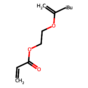 C=CC(=O)OCCOC(=C)C(C)CC